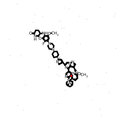 COc1ccc(CN2C3CC2CN(c2ccc(-c4nc(-c5cnn(C6CCC(N7CCN(c8cc(OC)c(NC9CCC(=O)NC9=O)cc8F)CC7)CC6)c5)cn5ncc(C#N)c45)cn2)C3)cn1